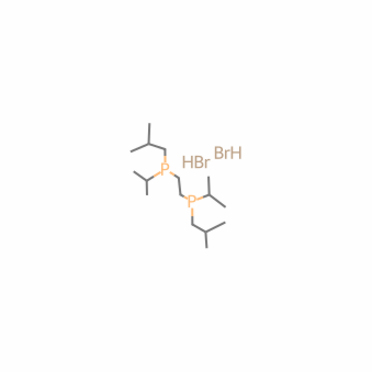 Br.Br.CC(C)CP(CCP(CC(C)C)C(C)C)C(C)C